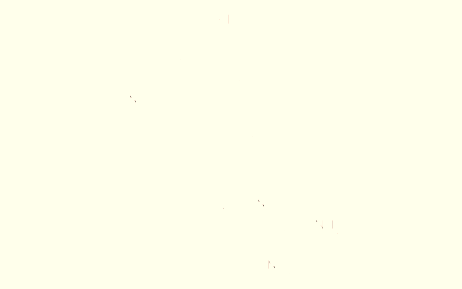 C=C(N=C(N)N)c1ccc2nc(C)c(C)c(-c3c(F)cccc3Cl)c2c1